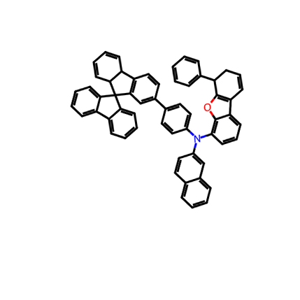 C1=CC2c3ccc(-c4ccc(N(c5ccc6ccccc6c5)c5cccc6c7c(oc56)C(c5ccccc5)CC=C7)cc4)cc3C3(c4ccccc4-c4ccccc43)C2C=C1